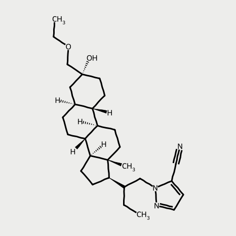 CCOC[C@@]1(O)CC[C@H]2[C@@H](CC[C@@H]3[C@@H]2CC[C@]2(C)[C@@H](C(CC)Cn4nccc4C#N)CC[C@@H]32)C1